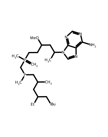 C=P(C)(CCC(CC(C)n1cnc2c(N)ncnc21)OC)CP(C)CC(C)CC(CC)CC(C)CC